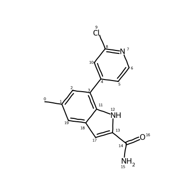 Cc1cc(-c2ccnc(Cl)c2)c2[nH]c(C(N)=O)cc2c1